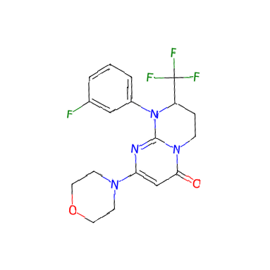 O=c1cc(N2CCOCC2)nc2n1CCC(C(F)(F)F)N2c1cccc(F)c1